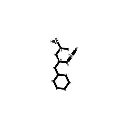 CN(C[C@H](CC1CCCCC1)N=C=S)C(=O)O